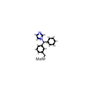 CNCc1[c]ccc(C(c2ccccc2)n2ccnc2)c1